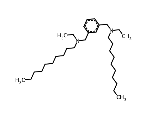 CCCCCCCCCCN(CC)Cc1cccc(CN(CC)CCCCCCCCCC)c1